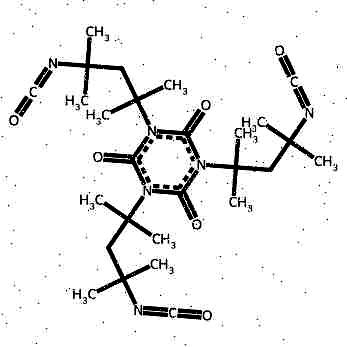 CC(C)(CC(C)(C)n1c(=O)n(C(C)(C)CC(C)(C)N=C=O)c(=O)n(C(C)(C)CC(C)(C)N=C=O)c1=O)N=C=O